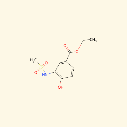 CCOC(=O)c1ccc(O)c(NS(C)(=O)=O)c1